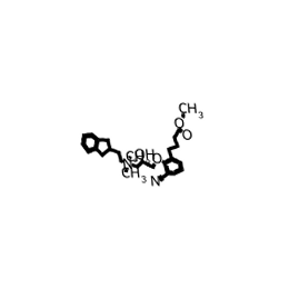 CCOC(=O)CCCc1cccc(C#N)c1OC[C@H](O)C[N+](C)(C)CCC1Cc2ccccc2C1